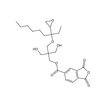 CCCCCCC(CC)(OCC(CO)(CO)COC(=O)c1ccc2c(c1)C(=O)OC2=O)C1CO1